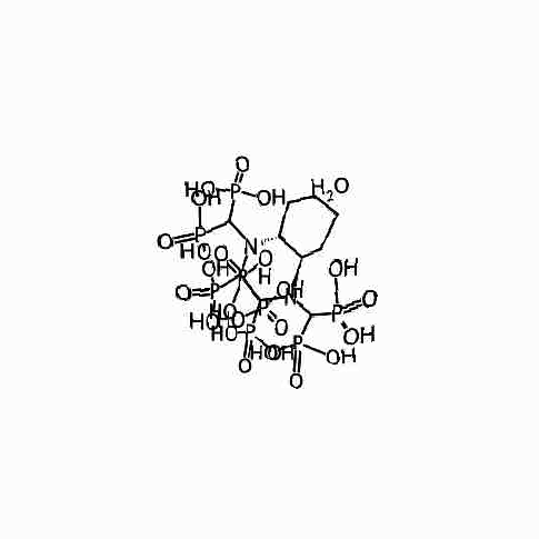 O.O=P(O)(O)C(N(C(P(=O)(O)O)P(=O)(O)O)[C@@H]1CCCC[C@H]1N(C(P(=O)(O)O)P(=O)(O)O)C(P(=O)(O)O)P(=O)(O)O)P(=O)(O)O